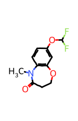 CN1C(=O)CCOc2cc(OC(F)F)ccc21